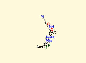 CCc1cc(Nc2nccn3c(-c4ccc(OC)c(F)c4F)cnc23)ccc1C(=O)CC(=N)CC(=O)CCCCCN(C)C